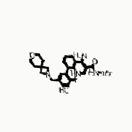 CCCNC(=O)C1=C(N)c2cccc(-c3cc(CN4CC5(CCOCC5)C4)ccc3F)c2NC1.Cl